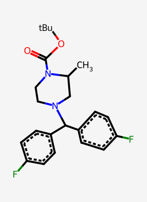 CC1CN(C(c2ccc(F)cc2)c2ccc(F)cc2)CCN1C(=O)OC(C)(C)C